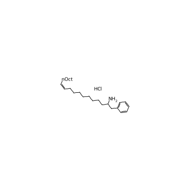 CCCCCCCC/C=C\CCCCCCCCC(N)Cc1ccccc1.Cl